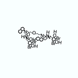 O=C(CN(CCCCOCCCCN(CC(=O)N/N=C/c1cc(Br)c(O)c(Br)c1O)c1cccc2ccccc12)c1cccc2ccccc12)N/N=C/c1cc(Br)c(O)c(Br)c1O